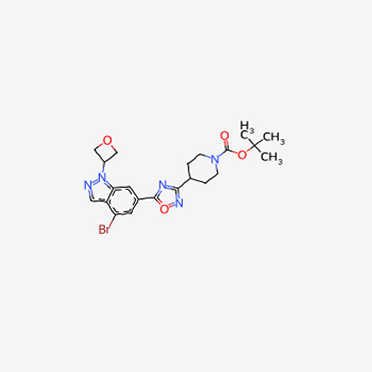 CC(C)(C)OC(=O)N1CCC(c2noc(-c3cc(Br)c4cnn(C5COC5)c4c3)n2)CC1